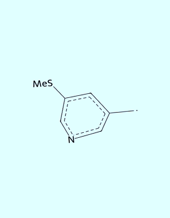 [CH2]c1cncc(SC)c1